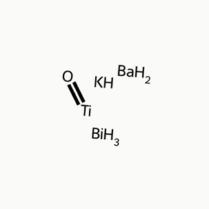 [BaH2].[BiH3].[KH].[O]=[Ti]